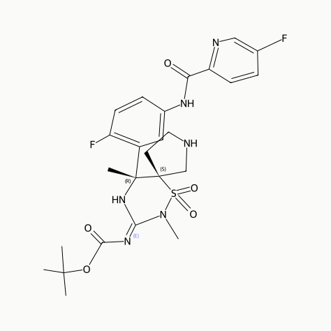 CN1/C(=N/C(=O)OC(C)(C)C)N[C@](C)(c2cc(NC(=O)c3ccc(F)cn3)ccc2F)[C@@]2(CCNC2)S1(=O)=O